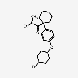 CCN(C)C(=O)C1(c2ccc(OC3CCN(C(C)C)CC3)cc2)CCOCC1